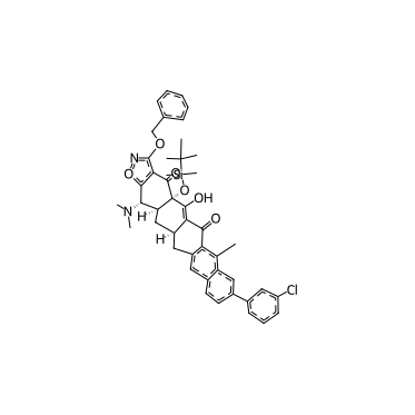 Cc1c2c(cc3ccc(-c4cccc(Cl)c4)cc13)C[C@H]1C[C@H]3[C@H](N(C)C)c4onc(OCc5ccccc5)c4C(=O)[C@@]3(O[Si](C)(C)C(C)(C)C)C(O)=C1C2=O